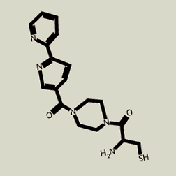 NC(CS)C(=O)N1CCN(C(=O)c2ccc(-c3ccccn3)nc2)CC1